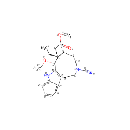 CC[C@@]1(CC(=O)OC)CCCN(C#N)CCc2c([nH]c3ccccc23)[C@@H]1OC